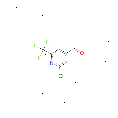 O=Cc1cc(Cl)nc(C(F)(F)F)c1